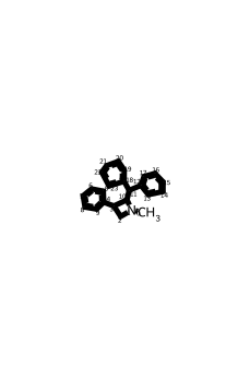 CN1CC(c2ccccc2)C1C(c1ccccc1)c1ccccc1